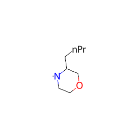 CCCCC1COCC[N]1